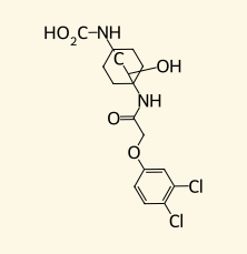 O=C(O)NC12CCC(NC(=O)COc3ccc(Cl)c(Cl)c3)(CC1)C(O)C2